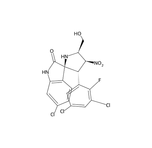 O=C1Nc2cc(Cl)ccc2[C@]12N[C@@H](CO)[C@@H]([N+](=O)[O-])[C@@H]2c1cc(Cl)cc(Cl)c1F